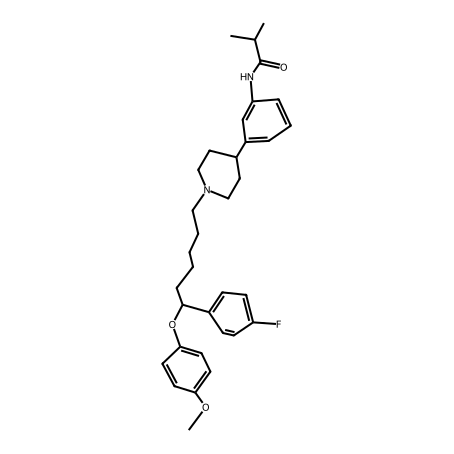 COc1ccc(OC(CCCCCN2CCC(c3cccc(NC(=O)C(C)C)c3)CC2)c2ccc(F)cc2)cc1